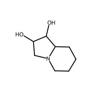 OC1CN2CCCCC2C1O